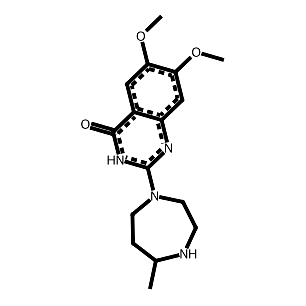 COc1cc2nc(N3CCNC(C)CC3)[nH]c(=O)c2cc1OC